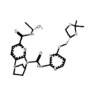 C[C@@H](NC(=O)c1ccc2c(n1)N(C(=O)Nc1nccc(OC[C@@H]3COC(C)(C)O3)n1)C1CCN2C1)C(F)(F)F